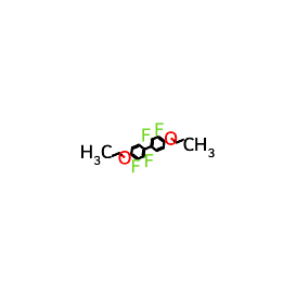 CCCOc1ccc(-c2ccc(OCCC)c(F)c2F)c(F)c1F